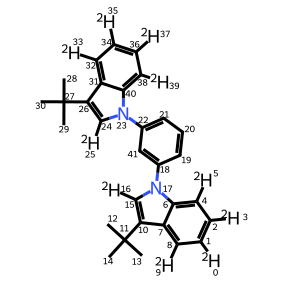 [2H]c1c([2H])c([2H])c2c(c1[2H])c(C(C)(C)C)c([2H])n2-c1cccc(-n2c([2H])c(C(C)(C)C)c3c([2H])c([2H])c([2H])c([2H])c32)c1